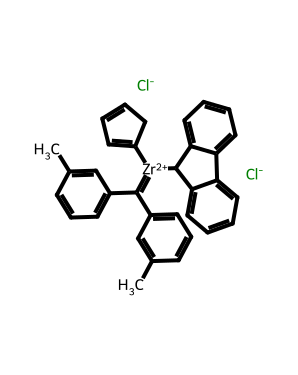 Cc1cccc([C](c2cccc(C)c2)=[Zr+2]([C]2=CC=CC2)[CH]2c3ccccc3-c3ccccc32)c1.[Cl-].[Cl-]